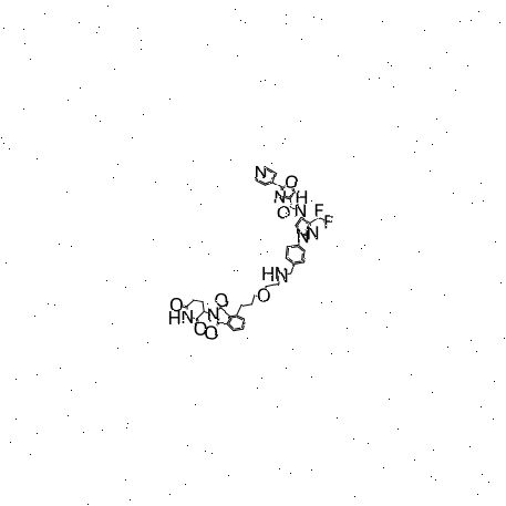 O=C1CCC(N2C(=O)c3cccc(CCCOCCNCc4ccc(-n5cc(NC(=O)c6coc(-c7ccncc7)n6)c(C(F)F)n5)cc4)c3C2=O)C(=O)N1